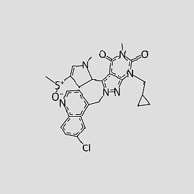 CN1C=C([S+](C)[O-])CC1c1c2c(=O)n(C)c(=O)n(CC3CC3)c2nn1Cc1ccnc2ccc(Cl)cc12